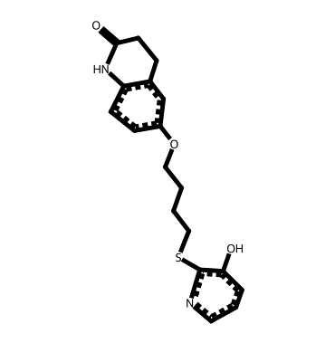 O=C1CCc2cc(OCCCCSc3ncccc3O)ccc2N1